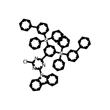 Clc1nc(-c2cc([Si](c3ccccc3)(c3ccccc3)c3cccc(-c4ccccc4)c3)cc([Si](c3ccccc3)(c3ccccc3)c3cccc(-c4ccccc4)c3)c2)nc(-n2c3ccccc3c3ccccc32)n1